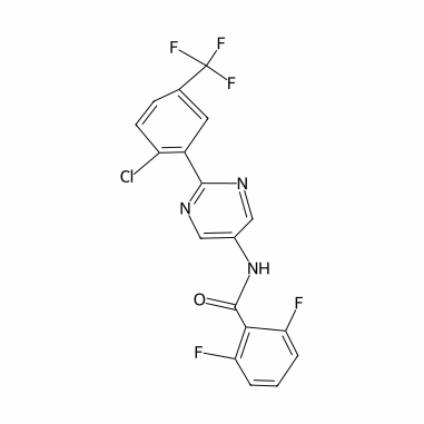 O=C(Nc1cnc(-c2cc(C(F)(F)F)ccc2Cl)nc1)c1c(F)cccc1F